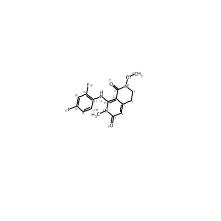 CON1CCc2cc(=O)n(C)c(Nc3ccc(I)cc3F)c2C1=O